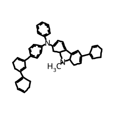 CN1C2CC=C(C3=CCCC=C3)C=C2C2=CC=C(N(c3ccccc3)c3ccc(C4=CCCC(C5=CC=CCC5)=C4)cc3)CC21